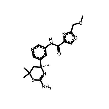 COCc1nc(C(=O)Nc2cncc([C@]3(C)CC(C)(C)SC(N)=N3)c2)co1